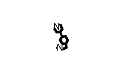 Cn1ccc2ccc(-c3ccncc3)cc21